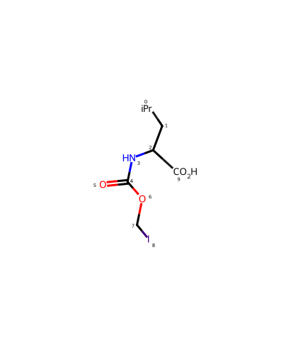 CC(C)CC(NC(=O)OCI)C(=O)O